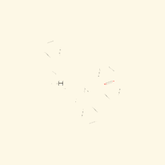 O=C(O)[C@H](Cc1ccccc1)C[C@H](O)[C@H](Cc1ccccc1)N(Cc1ccccc1)Cc1ccccc1